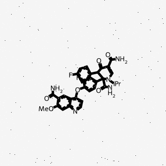 COc1cc2nccc(Oc3ccc(C4(C(N)=O)C(c5ccc(F)cc5)C(=O)C(C(N)=O)=CN4C(C)C)cc3F)c2cc1C(N)=O